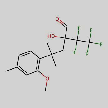 COc1cc(C)ccc1C(C)(C)CC(O)(C=O)C(F)(F)C(F)(F)F